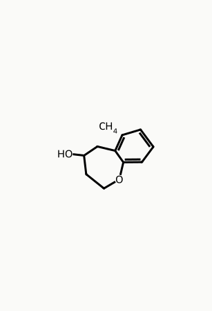 C.OC1CCOc2ccccc2C1